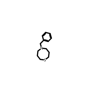 c1ccc(CN2CCCSCCC2)cc1